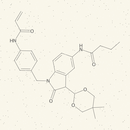 C=CC(=O)Nc1ccc(CN2C(=O)C(C3OCC(C)(C)CO3)c3cc(NC(=O)CCC)ccc32)cc1